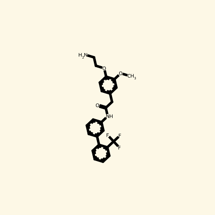 COc1cc(CC(=O)Nc2cccc(-c3ccccc3C(F)(F)F)c2)ccc1OCCN